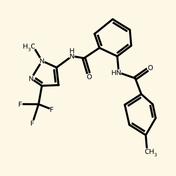 Cc1ccc(C(=O)Nc2ccccc2C(=O)Nc2cc(C(F)(F)F)nn2C)cc1